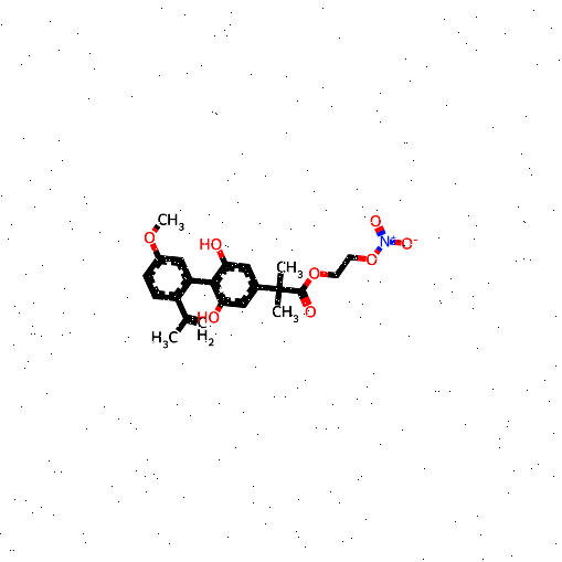 C=C(C)c1ccc(OC)cc1-c1c(O)cc(C(C)(C)C(=O)OCCO[N+](=O)[O-])cc1O